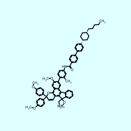 CCCCC[C@H]1CC[C@H](c2ccc(-c3ccc(C(=O)Nc4ccc(-c5cc6c7c(c8c(c6cc5OC)OC(c5ccc(OC)cc5)(c5ccc(OC)cc5)C=C8)C(CC)(OC)c5ccccc5-7)c(C)c4)cc3)cc2)CC1